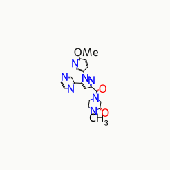 COc1ccc(-n2nc(C(=O)N3CCN(C)C(=O)C3)cc2-c2cnccn2)cn1